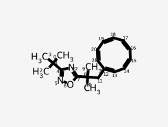 CC(C)(C)c1noc(C(C)(C)Cc2ccccccccc2)n1